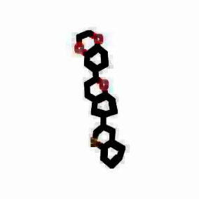 c1ccc2c(c1)CC(c1ccc3c(c1)CCC(c1ccc4c(c1)OCCO4)O3)CS2